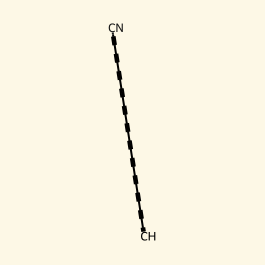 C#CC#CC#CC#CC#CC#CC#CC#CC#CC#CC#CC#CC#N